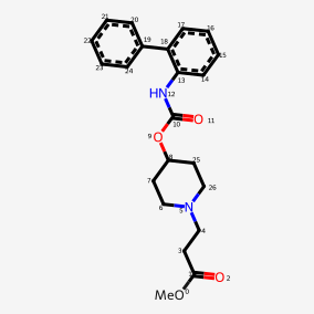 COC(=O)CCN1CCC(OC(=O)Nc2ccccc2-c2ccccc2)CC1